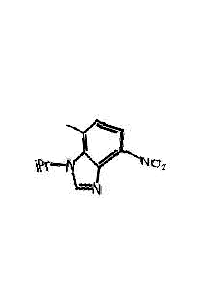 Cc1ccc([N+](=O)[O-])c2ncn(C(C)C)c12